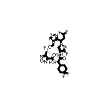 Cc1nonc1C(=O)N[C@H](C(=O)Nc1cn(C(CC(F)F)c2nnnn2CC(F)(F)F)nc1F)C1CCC(F)(F)CC1